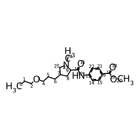 CCCOCCCC1CC(C(=O)Nc2ccc(C(=O)OC)cc2)N(C)C1